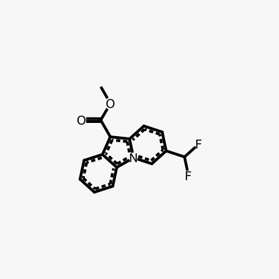 COC(=O)c1c2ccccc2n2cc(C(F)F)ccc12